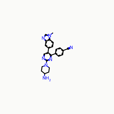 Cn1cnc2cc(-c3cnc(N4CCC(N)CC4)nc3-c3ccc(C#N)cc3)ccc21